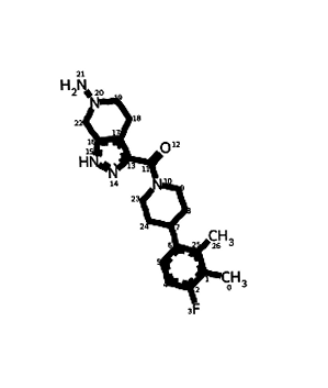 Cc1c(F)ccc(C2CCN(C(=O)c3n[nH]c4c3CCN(N)C4)CC2)c1C